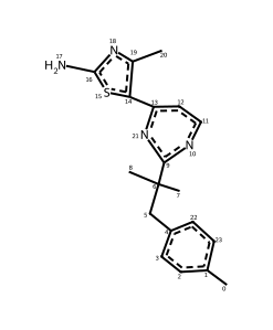 Cc1ccc(CC(C)(C)c2nccc(-c3sc(N)nc3C)n2)cc1